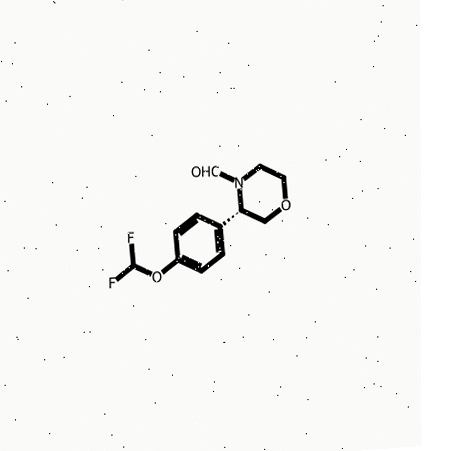 O=CN1CCOC[C@@H]1c1ccc(OC(F)F)cc1